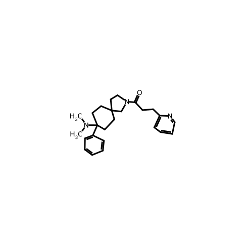 CN(C)C1(c2ccccc2)CCC2(CCN(C(=O)CCc3ccccn3)C2)CC1